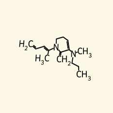 C=C/C=C(\C)N1CCC=C(N(C)CCC)C1=C